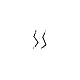 FCCF.FCCF